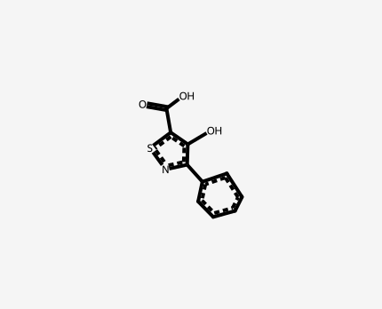 O=C(O)c1snc(-c2ccccc2)c1O